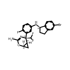 NC1=N[C@@](c2cc(N[C@@H]3CCc4cc(Br)ccc43)ccc2F)(C(F)F)[C@H]2C[C@H]2O1